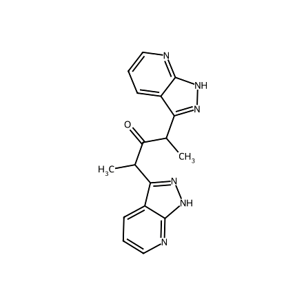 CC(C(=O)C(C)c1n[nH]c2ncccc12)c1n[nH]c2ncccc12